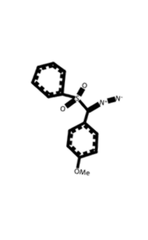 COc1ccc(C(=[N+]=[N-])S(=O)(=O)c2ccccc2)cc1